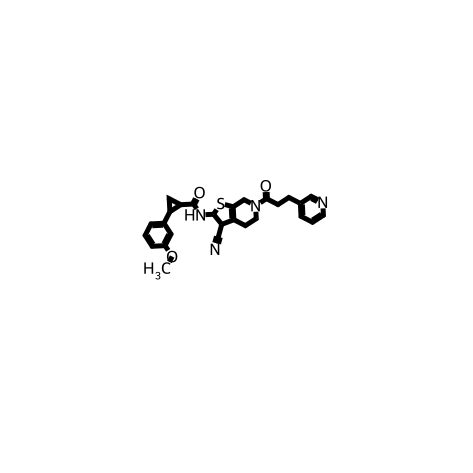 COc1cccc(C2CC2C(=O)NC2SC3=C(CCN(C(=O)CCc4cccnc4)C3)C2C#N)c1